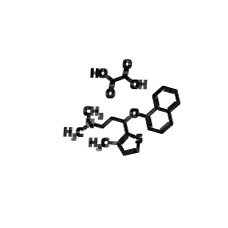 Cc1ccsc1C(CCN(C)C)Oc1cccc2ccccc12.O=C(O)C(=O)O